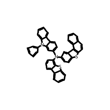 c1ccc(-n2c3ccccc3c3ccc(N(c4ccc5sc6ccc7ccccc7c6c5c4)c4cccc5c4sc4ccccc45)cc32)cc1